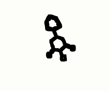 O=C1CC(c2ccccc2)CC(=O)C1Cl